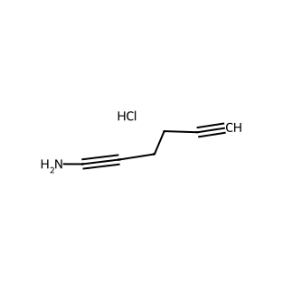 C#CCCC#CN.Cl